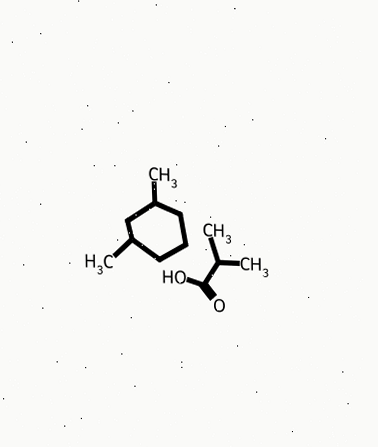 CC(C)C(=O)O.CC1CCCC(C)C1